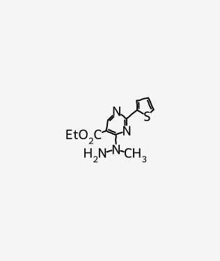 CCOC(=O)c1cnc(-c2cccs2)nc1N(C)N